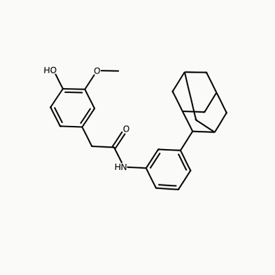 COc1cc(CC(=O)Nc2cccc(C3C4CC5CC(C4)CC3C5)c2)ccc1O